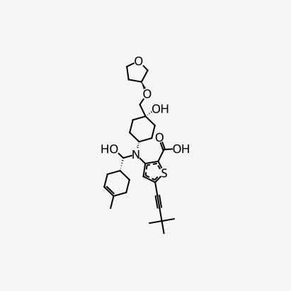 CC1=CC[C@H](C(O)N(c2cc(C#CC(C)(C)C)sc2C(=O)O)[C@H]2CC[C@](O)(CO[C@H]3CCOC3)CC2)CC1